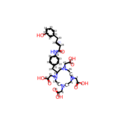 O=C(O)CN1CCN(CC(=O)O)CCN(CC(=O)O)C(Cc2ccc(NC(=O)/C=C/Cc3cccc(O)c3)cc2)CN(CC(=O)O)CC1